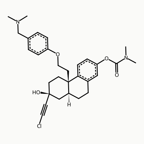 CN(C)Cc1ccc(OCC[C@]23CC[C@@](O)(C#CCl)C[C@@H]2CCc2cc(OC(=O)N(C)C)ccc23)cc1